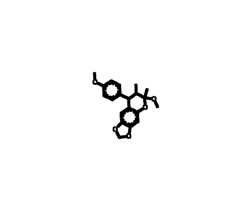 COc1ccc(C2c3cc4c(cc3OC(C)(OC)C2C)OCO4)cc1